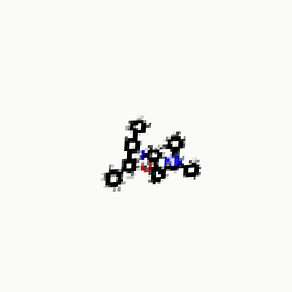 C1=CC(c2ccc3c4cc(-c5ccccc5)ccc4n(-c4cccc5c4oc4cccc(-c6cc(-c7ccccc7)nc(-c7ccccc7)n6)c45)c3c2)=CCC1